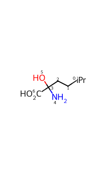 CC(C)CCC(N)(O)C(=O)O